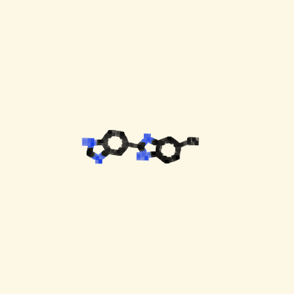 N#Cc1ccc2[nH]c(-c3ccc4[nH]cnc4c3)nc2c1